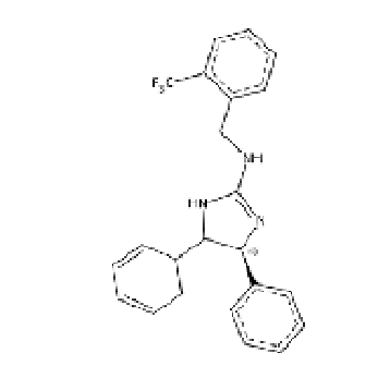 FC(F)(F)c1ccccc1CNC1=N[C@@H](c2ccccc2)C(C2C=CC=CC2)N1